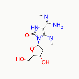 C=Nc1c(/C(N)=N\C)[nH]c(=O)n1[C@H]1CC(O)[C@@H](CO)O1